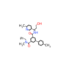 Cc1ccc(-c2cc(C(=O)N[C@H](CCO)c3ccc(C)nc3)cc(C(=O)N(C)CC(C)C)c2)cc1